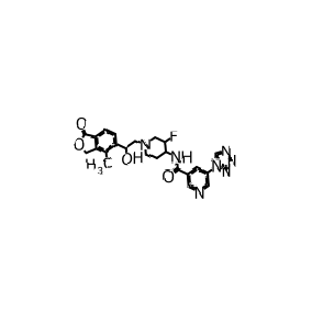 Cc1c(C(O)CN2CCC(NC(=O)c3cncc(-n4cnnn4)c3)C(F)C2)ccc2c1COC2=O